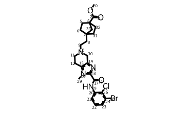 COC(=O)C12CCC(CCN3CCc4c(nc(C(=O)Nc5cccc(Br)c5Cl)n4C)C3)(CC1)C2